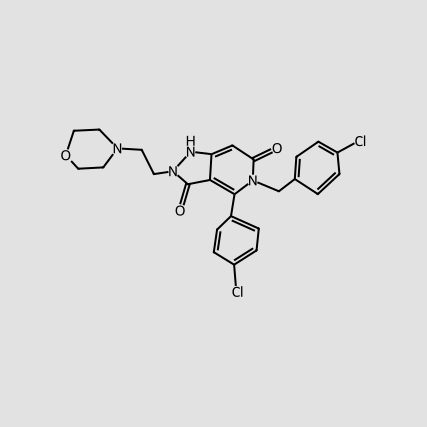 O=c1c2c(-c3ccc(Cl)cc3)n(Cc3ccc(Cl)cc3)c(=O)cc2[nH]n1CCN1CCOCC1